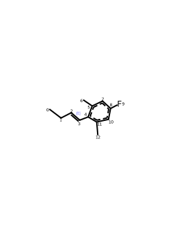 CC/C=C/c1c(C)cc(F)cc1C